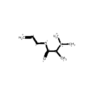 C=CCOC(=O)C(C)N(C)C